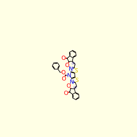 O=C1C(=O)c2ccccc2/C1=C/c1nc2c(s1)c1sc(/C=C3\C(=O)C(=O)c4ccccc43)nc1n2C(=O)OCc1ccccc1